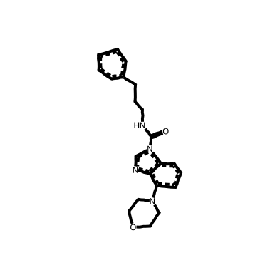 O=C(NCCCc1ccccc1)n1cnc2c(N3CCOCC3)cccc21